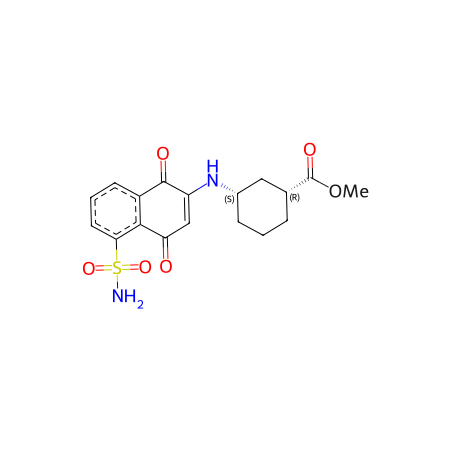 COC(=O)[C@@H]1CCC[C@H](NC2=CC(=O)c3c(cccc3S(N)(=O)=O)C2=O)C1